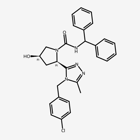 Cc1nnc([C@H]2C[C@@H](O)CN2C(=O)NC(c2ccccc2)c2ccccc2)n1Cc1ccc(Cl)cc1